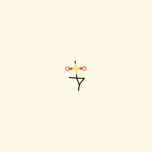 CC1CC1(C)S(C)(=O)=O